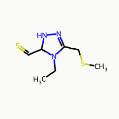 CCN1C(CSC)=NNC1C=S